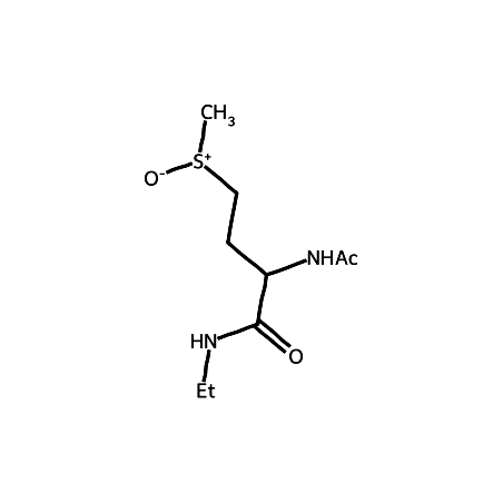 CCNC(=O)C(CC[S+](C)[O-])NC(C)=O